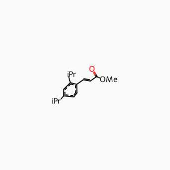 COC(=O)C=Cc1ccc(C(C)C)cc1C(C)C